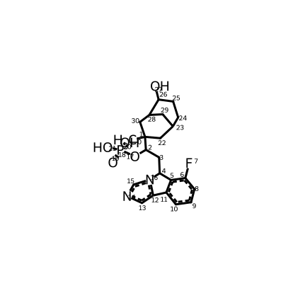 CC1(C(CC2c3c(F)cccc3-c3cncn32)OP(=O)(O)O)CC2CCC(O)C(C2)C1